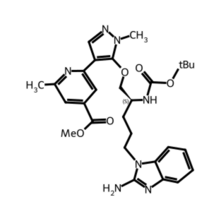 COC(=O)c1cc(C)nc(-c2cnn(C)c2OC[C@H](CCCn2c(N)nc3ccccc32)NC(=O)OC(C)(C)C)c1